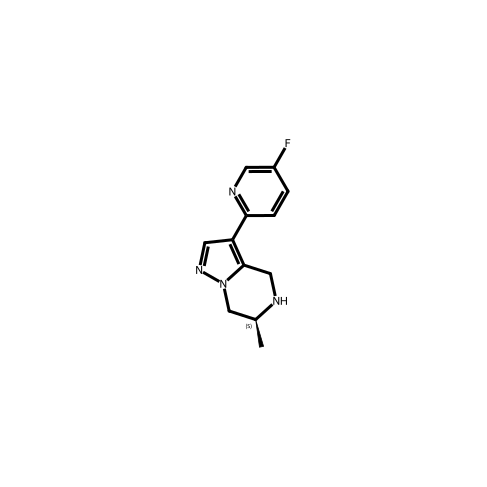 C[C@H]1Cn2ncc(-c3ccc(F)cn3)c2CN1